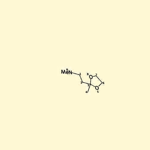 CNCCC1(C)OCCO1